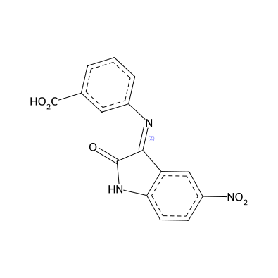 O=C1Nc2ccc([N+](=O)[O-])cc2/C1=N/c1cccc(C(=O)O)c1